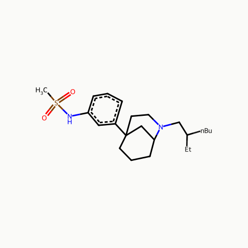 CCCCC(CC)CN1CCC2(c3cccc(NS(C)(=O)=O)c3)CCCC1C2